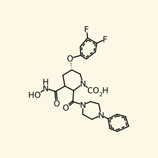 O=C(NO)C1C[C@H](Oc2ccc(F)c(F)c2)CN(C(=O)O)C1C(=O)N1CCN(c2ccccc2)CC1